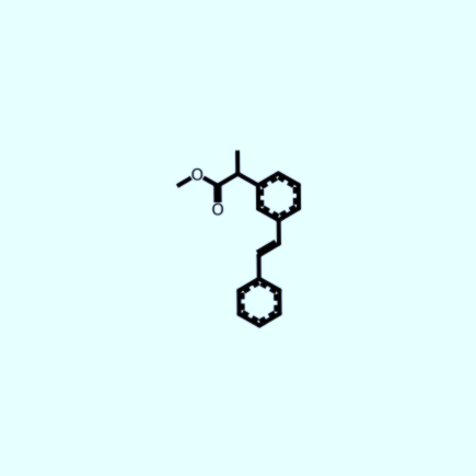 COC(=O)C(C)c1cccc(C=Cc2ccccc2)c1